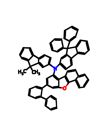 CC1(C)c2ccccc2-c2ccc(N(c3ccc4c(c3)C(c3ccccc3)(c3ccccc3)c3ccccc3-4)c3cc(-c4ccccc4-c4ccccc4)cc4oc5c6ccccc6ccc5c34)cc21